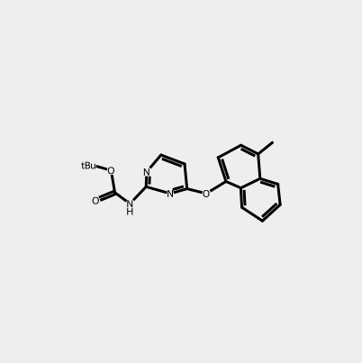 Cc1ccc(Oc2ccnc(NC(=O)OC(C)(C)C)n2)c2ccccc12